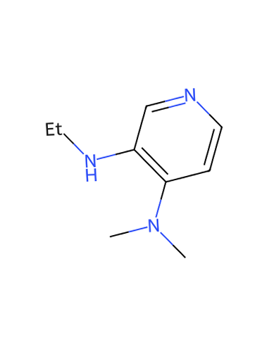 CCNc1cnccc1N(C)C